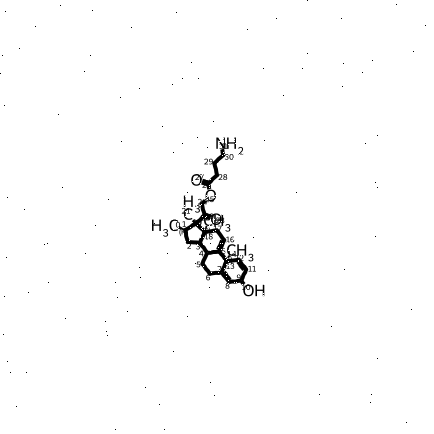 C[C@@H]1CC2C3CCC4=CC(O)C=C[C@]4(C)C3=CC[C@]2(C)[C@@]1(C)C(=O)COC(=O)CCCN